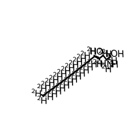 [2H]/C(=C(/[2H])[C@@]([2H])(O)[C@@]([2H])(N([2H])[2H])C([2H])([2H])O)C([2H])([2H])C([2H])([2H])C([2H])([2H])C([2H])([2H])C([2H])([2H])C([2H])([2H])C([2H])([2H])C([2H])([2H])C([2H])([2H])C([2H])([2H])C([2H])([2H])C([2H])([2H])C([2H])[2H]